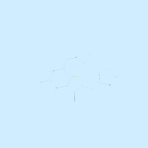 Cc1c(CN2CCNC2=S)sc2c1c(=O)n(CC(F)(F)F)c(=O)n2CC1CCO1